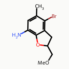 COCC1Cc2c(Br)c(C)cc(N)c2O1